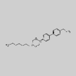 CCCCCCC[C@@H]1CO[C@@H](c2ccc(-c3ccc(CC)cc3)cc2)CO1